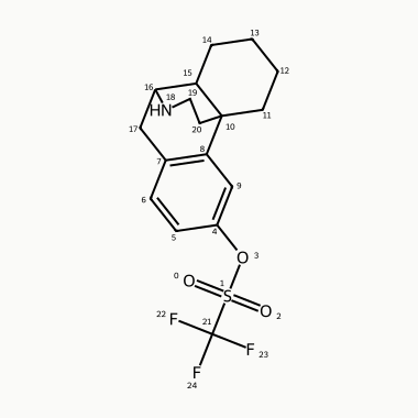 O=S(=O)(Oc1ccc2c(c1)C13CCCCC1C(C2)NCC3)C(F)(F)F